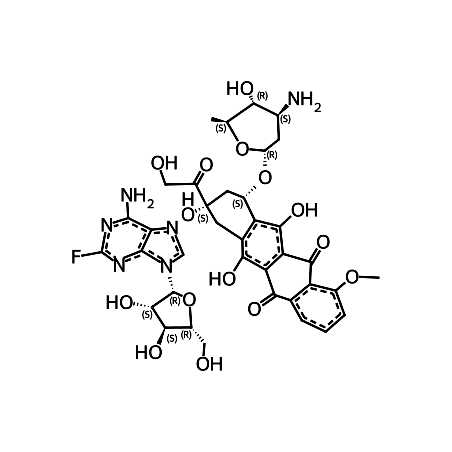 COc1cccc2c1C(=O)c1c(O)c3c(c(O)c1C2=O)C[C@@](O)(C(=O)CO)C[C@@H]3O[C@H]1C[C@H](N)[C@@H](O)[C@H](C)O1.Nc1nc(F)nc2c1ncn2[C@@H]1O[C@H](CO)[C@@H](O)[C@@H]1O